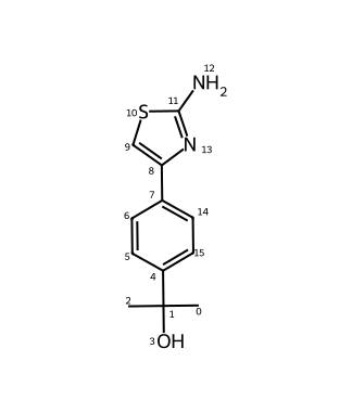 CC(C)(O)c1ccc(-c2csc(N)n2)cc1